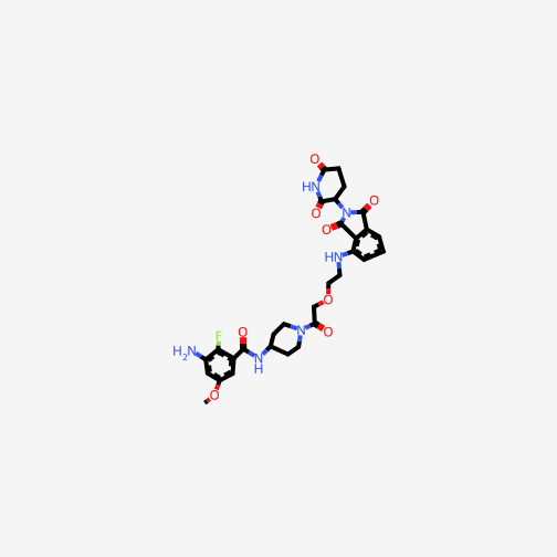 COc1cc(N)c(F)c(C(=O)NC2CCN(C(=O)COCCNc3cccc4c3C(=O)N(C3CCC(=O)NC3=O)C4=O)CC2)c1